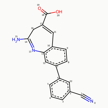 N#Cc1cccc(-c2ccc3c(c2)N=C(N)CC(C(=O)O)=C3)c1